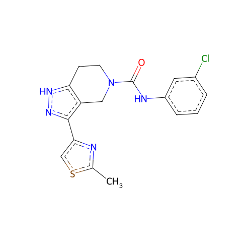 Cc1nc(-c2n[nH]c3c2CN(C(=O)Nc2cccc(Cl)c2)CC3)cs1